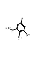 CBc1cc(Br)cc(C(C)C)c1C